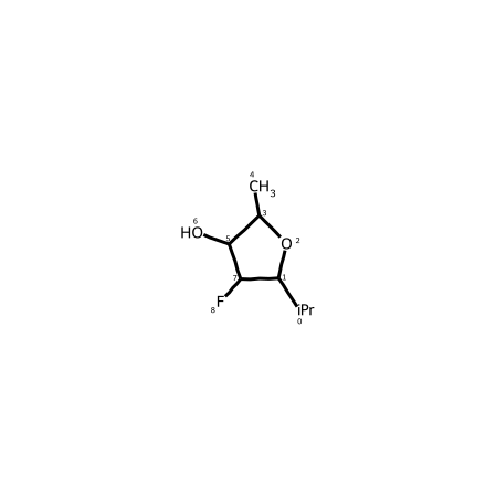 CC(C)C1OC(C)C(O)C1F